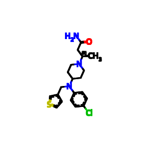 C[C@H](CC(N)=O)N1CCC(N(Cc2ccsc2)c2ccc(Cl)cc2)CC1